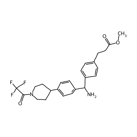 COC(=O)CCc1ccc(C(N)c2ccc(C3CCN(C(=O)C(F)(F)F)CC3)cc2)cc1